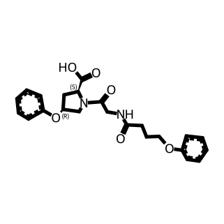 O=C(CCCOc1ccccc1)NCC(=O)N1C[C@H](Oc2ccccc2)C[C@H]1C(=O)O